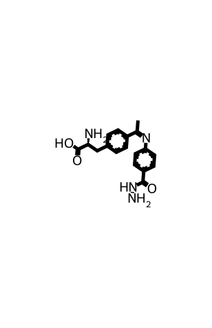 C/C(=N/c1ccc(C(=O)NN)cc1)c1ccc(C[C@H](N)C(=O)O)cc1